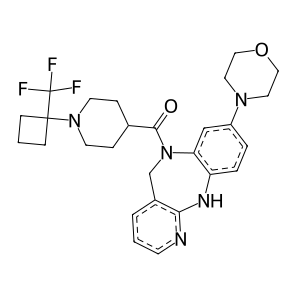 O=C(C1CCN(C2(C(F)(F)F)CCC2)CC1)N1Cc2cccnc2Nc2ccc(N3CCOCC3)cc21